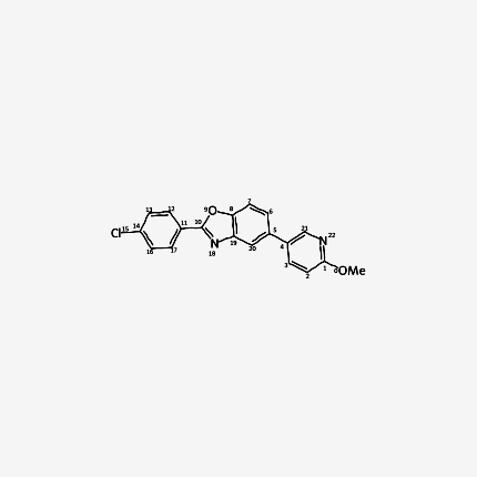 COc1ccc(-c2ccc3oc(-c4ccc(Cl)cc4)nc3c2)cn1